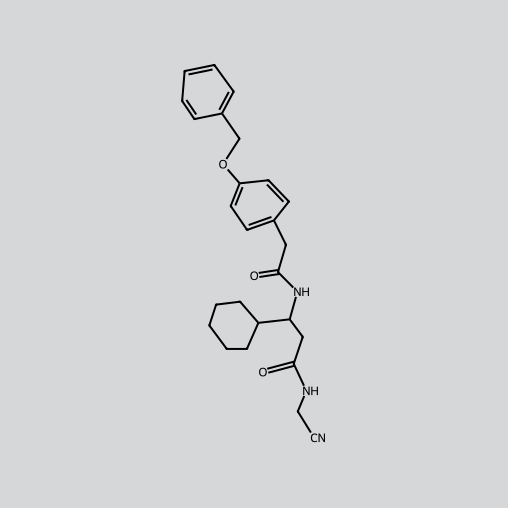 N#CCNC(=O)CC(NC(=O)Cc1ccc(OCc2ccccc2)cc1)C1CCCCC1